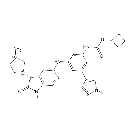 Cn1cc(-c2cc(NC(=O)OC3CCC3)cc(Nc3cc4c(cn3)n(C)c(=O)n4[C@@H]3CC[C@@H](N)C3)c2)cn1